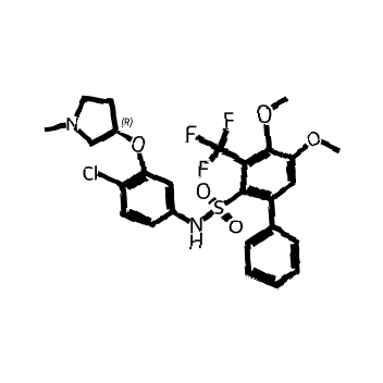 COc1cc(-c2ccccc2)c(S(=O)(=O)Nc2ccc(Cl)c(O[C@@H]3CCN(C)C3)c2)c(C(F)(F)F)c1OC